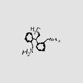 CCC(c1ccccc1CN)c1ccccc1CN